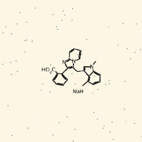 Cc1cccc2c1c(Cc1c(-c3ccccc3C(=O)O)nc3ccccn13)cn2C.[NaH]